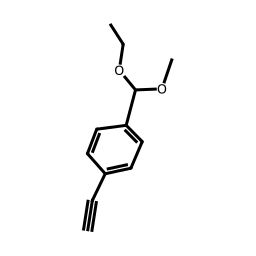 C#Cc1ccc(C(OC)OCC)cc1